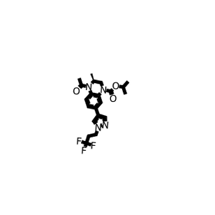 CC(=O)N1c2ccc(-c3cnn(CCC(F)(F)F)c3)cc2N(C(=O)OC(C)C)C[C@@H]1C